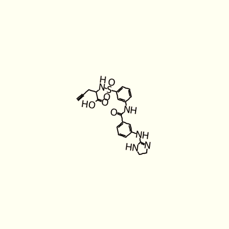 C#CCC(NS(=O)(=O)c1cccc(NC(=O)c2cccc(NC3=NCCN3)c2)c1)C(=O)O